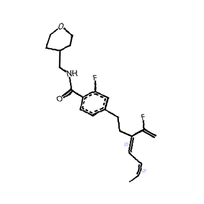 C=C(F)/C(=C\C=C/C)CCc1ccc(C(=O)NCC2CCOCC2)c(F)c1